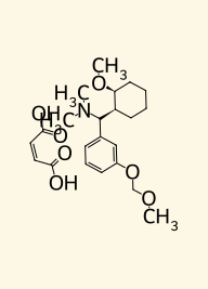 COCOc1cccc(C([C@@H]2CCCC[C@@H]2OC)N(C)C)c1.O=C(O)/C=C\C(=O)O